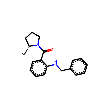 CC(=O)[C@@H]1CCCN1C(=O)c1ccccc1NCc1ccccc1